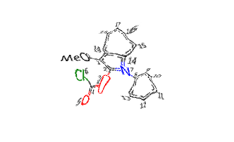 COc1c(OC(=O)Cl)n(-c2ccccc2)c2ccccc12